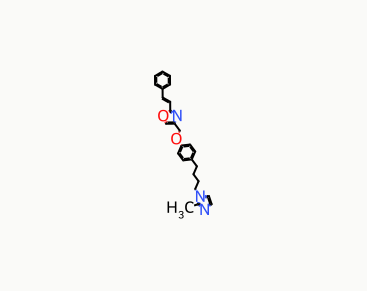 Cc1nccn1CCCCc1ccc(OCc2coc(/C=C/c3ccccc3)n2)cc1